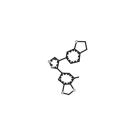 Cc1cc(-c2nocc2-c2ccc3c(c2)OCC3)cc2c1OCO2